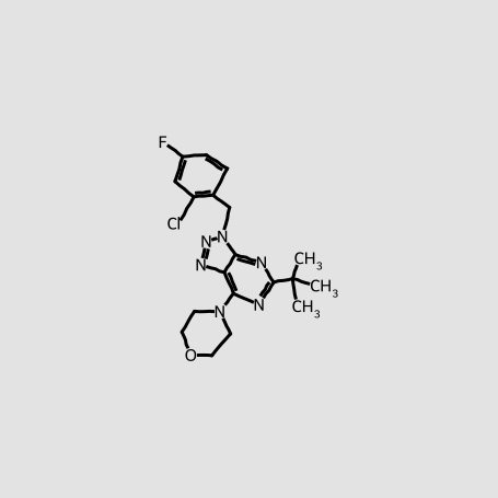 CC(C)(C)c1nc(N2CCOCC2)c2nnn(Cc3ccc(F)cc3Cl)c2n1